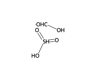 O=[C]O.O=[SH](=O)O